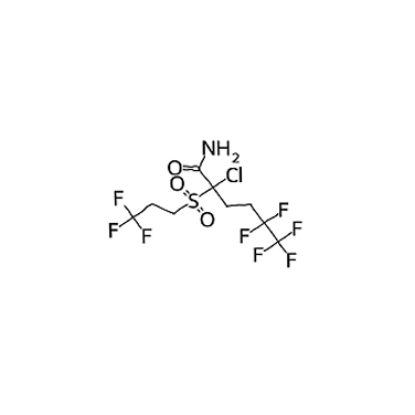 NC(=O)C(Cl)(CCC(F)(F)C(F)(F)F)S(=O)(=O)CCC(F)(F)F